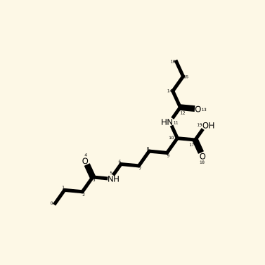 CCCC(=O)NCCCCC(NC(=O)CCC)C(=O)O